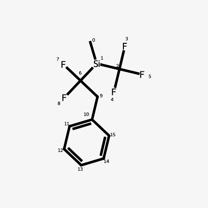 C[Si](C(F)(F)F)C(F)(F)Cc1ccccc1